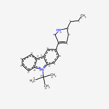 CCCC1CC=C(c2ccc3c(c2)c2ccccc2n3C(C)(C)C)CN1